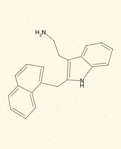 NCCc1c(Cc2cccc3ccccc23)[nH]c2ccccc12